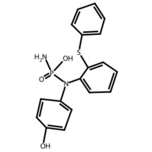 NP(=O)(O)N(c1ccc(O)cc1)c1ccccc1Sc1ccccc1